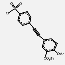 CCOC(=O)c1cc(C#Cc2ccc(S(=O)(=O)Cl)cc2)ccc1OC(C)=O